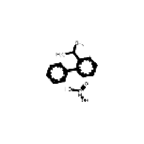 CC(C)c1ccccc1-c1ccccc1.O=[PH](O)O